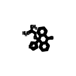 C=C(C)COC1(c2ccsc2)c2ccccc2C(=O)c2ccccc21